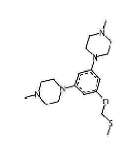 CSCOc1cc(N2CCN(C)CC2)cc(N2CCN(C)CC2)c1